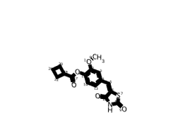 COc1cc(C=C2SC(=O)NC2=O)ccc1OC(=O)C1CCC1